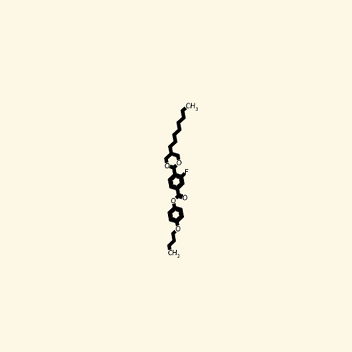 CCCCCCCCC1COC(c2ccc(C(=O)Oc3ccc(OCCCC)cc3)cc2F)OC1